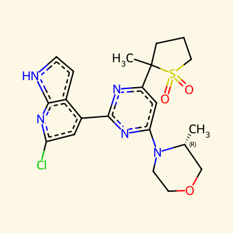 C[C@@H]1COCCN1c1cc(C2(C)CCCS2(=O)=O)nc(-c2cc(Cl)nc3[nH]ccc23)n1